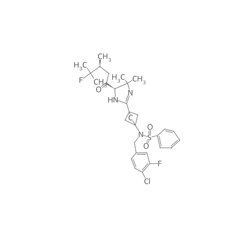 C[C@@H](CC(=O)[C@@H]1NC(C23CC(N(Cc4ccc(Cl)c(F)c4)S(=O)(=O)c4ccccc4)(C2)C3)=NC1(C)C)C(C)(C)F